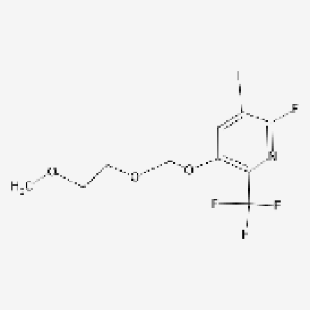 COCCOCOc1cc(I)c(F)nc1C(F)(F)F